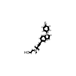 CN(CCO)C(C)(C)C#Cc1ccc2c(ccn2-c2ccc(F)cc2)c1